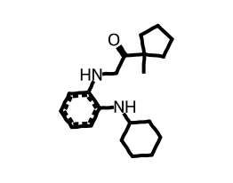 CC1(C(=O)CNc2ccccc2NC2CCCCC2)CCCC1